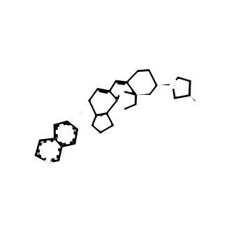 C[C@]12CC=C3C=C4CC[C@@H](N5CC[C@@H](F)C5)C[C@]45CC[C@]3(O5)[C@@H]1CC[C@@H]2c1ccc2ccncc2c1